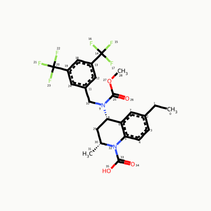 CCc1ccc2c(c1)[C@@H](N(Cc1cc(C(F)(F)F)cc(C(F)(F)F)c1)C(=O)OC)C[C@@H](C)N2C(=O)O